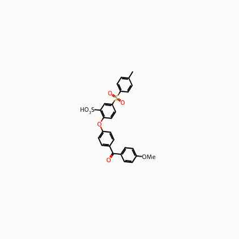 COc1ccc(C(=O)c2ccc(Oc3ccc(S(=O)(=O)c4ccc(C)cc4)cc3S(=O)(=O)O)cc2)cc1